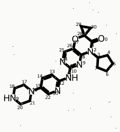 O=C1N(C2CCCC2)c2nc(Nc3ccc(N4CCNCC4)cn3)ncc2OC12CC2